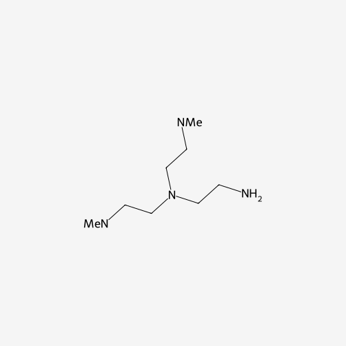 CNCCN(CCN)CCNC